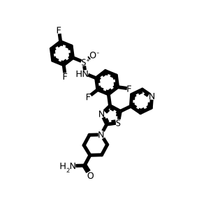 NC(=O)C1CCN(c2nc(-c3c(F)ccc(N[S+]([O-])c4cc(F)ccc4F)c3F)c(-c3ccncc3)s2)CC1